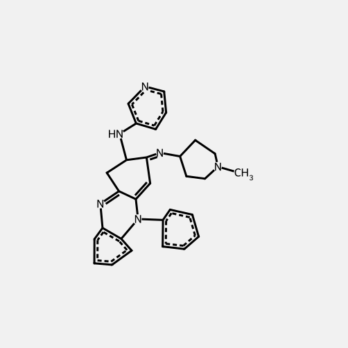 CN1CCC(N=C2C=C3C(=Nc4ccccc4N3c3ccccc3)CC2Nc2cccnc2)CC1